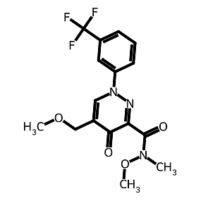 COCc1cn(-c2cccc(C(F)(F)F)c2)nc(C(=O)N(C)OC)c1=O